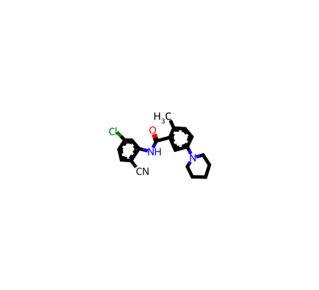 Cc1ccc(N2CCCCC2)cc1C(=O)Nc1cc(Cl)ccc1C#N